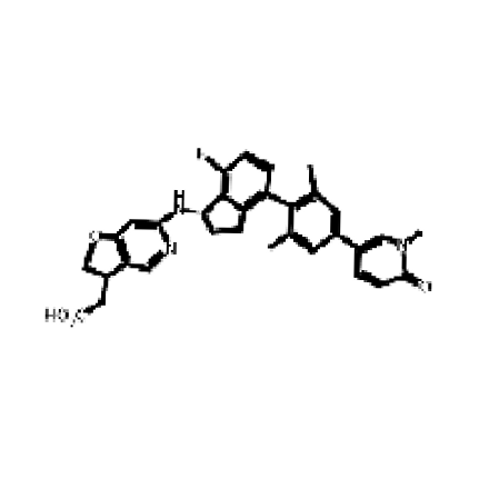 Cc1cc(-c2ccc(=O)n(C)c2)cc(C)c1-c1ccc(F)c2c1CC[C@H]2Nc1cc2c(cn1)C(CC(=O)O)CO2